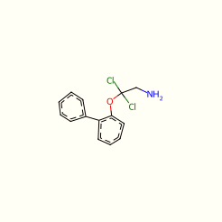 NCC(Cl)(Cl)Oc1ccccc1-c1ccccc1